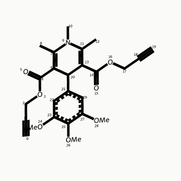 C#CCOC(=O)C1=C(C)N(C)C(C)=C(C(=O)OCC#C)C1c1cc(OC)c(OC)c(OC)c1